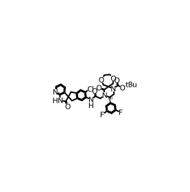 CC(C)(C)OC(=O)N1C[C@@H](c2cc(F)cc(F)c2)N(CC(=O)Nc2cc3c(cc2Cl)CC2(C3)C(=O)Nc3ncccc32)C(=O)C12COCCOC2